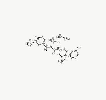 NCC1(c2cccc(Cl)c2)CCC(N(CC(=O)O)C(=O)CNc2cccc(C(=O)O)c2)CC1.O=CO